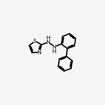 c1ccc(-c2ccccc2NNc2nccs2)cc1